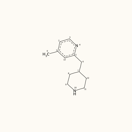 Cc1ccnc(CC2CCNCC2)c1